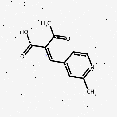 CC(=O)/C(=C\c1ccnc(C)c1)C(=O)O